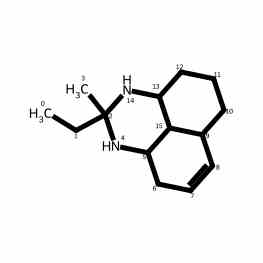 CCC1(C)NC2CC=CC3CCCC(N1)C32